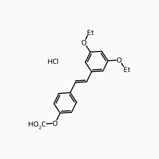 CCOc1cc(C=Cc2ccc(OC(=O)O)cc2)cc(OCC)c1.Cl